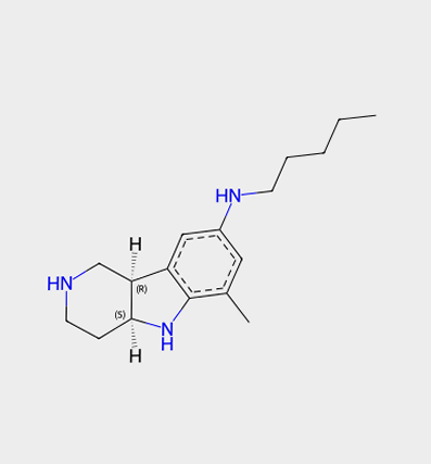 CCCCCNc1cc(C)c2c(c1)[C@@H]1CNCC[C@@H]1N2